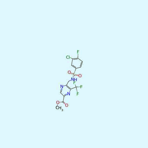 COC(=O)c1cnc(CNS(=O)(=O)c2ccc(F)c(Cl)c2)c(C(F)(F)F)n1